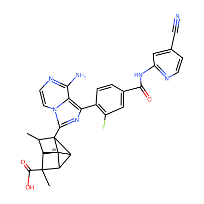 CC1C2C(C)(C(=O)O)C3C4C1(c1nc(-c5ccc(C(=O)Nc6cc(C#N)ccn6)cc5F)c5c(N)nccn15)[C@@]234